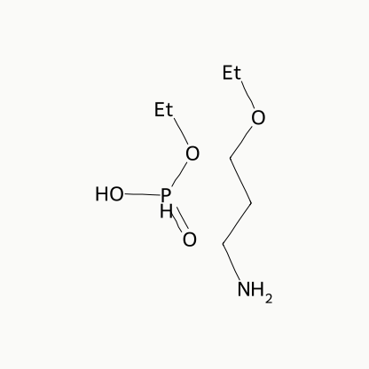 CCOCCCN.CCO[PH](=O)O